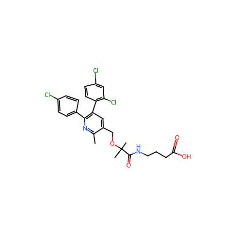 Cc1nc(-c2ccc(Cl)cc2)c(-c2ccc(Cl)cc2Cl)cc1COC(C)(C)C(=O)NCCCC(=O)O